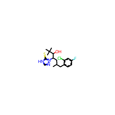 CC(Cc1ccc(F)cc1Cl)CC(C(O)C(C)(C)C)n1nc[nH]c1=S